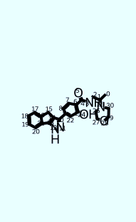 CC(CNC(=O)c1ccc(-c2n[nH]c3c2Cc2ccccc2-3)cc1O)N1CCOCC1